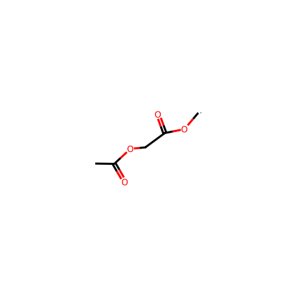 [CH2]OC(=O)COC(C)=O